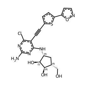 Nc1nc(Cl)c(C#Cc2ccc(-c3ccno3)s2)c(N[C@@H]2C[C@H](CO)[C@@H](O)[C@H]2O)n1